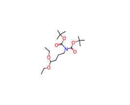 CCOC(CCCN(C(=O)OC(C)(C)C)C(=O)OC(C)(C)C)OCC